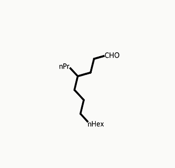 CCCCCCCCCC(CCC)CCC=O